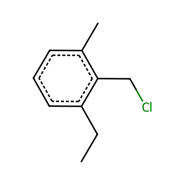 CCc1cccc(C)c1CCl